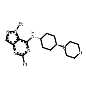 CCn1ncc2nc(Cl)nc(N[C@H]3CC[C@H](N4CCOCC4)CC3)c21